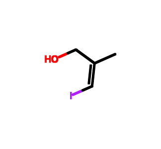 CC(=CI)CO